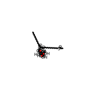 CCCCCCCCCCCCCCCC(=O)O[C@@H](COP(=O)(O)OC1C(O)[C@H](OP(=O)(O)O)C(OP(=O)(O)O)[C@H](O)[C@@H]1O)CC(=O)OCCCCCCCCCCCCCCSC(=O)CCC